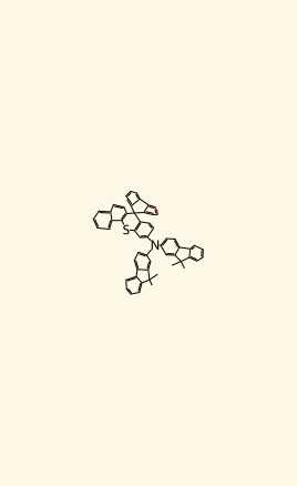 CC1(C)c2ccccc2-c2ccc(N(c3ccc4c(c3)Sc3c(ccc5ccccc35)C43c4ccccc4-c4ccccc43)c3ccc4c(c3)C(C)(C)c3ccccc3-4)cc21